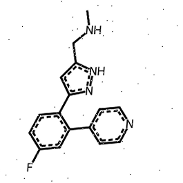 CNCc1cc(-c2ccc(F)cc2-c2ccncc2)n[nH]1